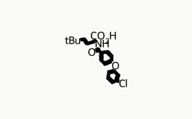 CC(C)(C)/C=C/C(NC(=O)c1ccc(Oc2cccc(Cl)c2)cc1)C(=O)O